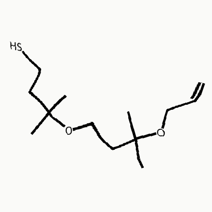 C=CCOC(C)(C)CCOC(C)(C)CCS